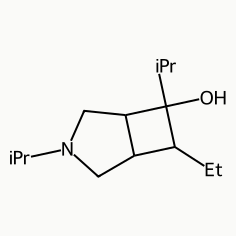 CCC1C2CN(C(C)C)CC2C1(O)C(C)C